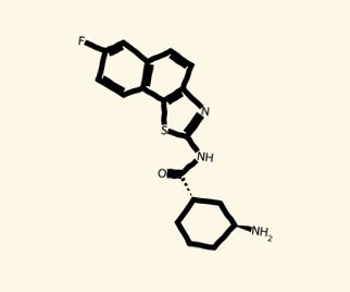 N[C@H]1CCC[C@H](C(=O)Nc2nc3ccc4cc(F)ccc4c3s2)C1